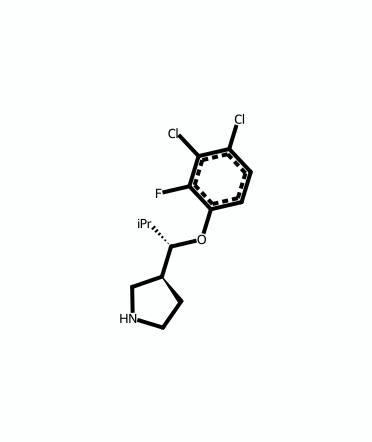 CC(C)[C@H](Oc1ccc(Cl)c(Cl)c1F)[C@H]1CCNC1